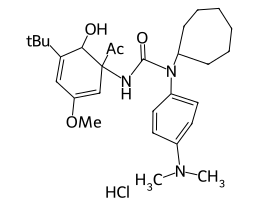 COC1=CC(NC(=O)N(c2ccc(N(C)C)cc2)C2CCCCCC2)(C(C)=O)C(O)C(C(C)(C)C)=C1.Cl